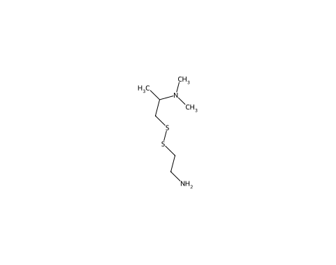 CC(CSSCCN)N(C)C